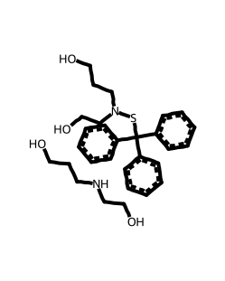 OCCCN(CCO)SC(c1ccccc1)(c1ccccc1)c1ccccc1.OCCCNCCO